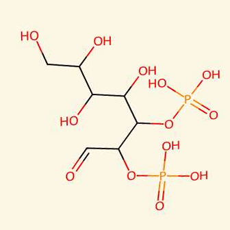 O=CC(OP(=O)(O)O)C(OP(=O)(O)O)C(O)C(O)C(O)CO